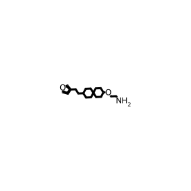 NCCOC1CCC2(CCC(CCc3ccoc3)CC2)CC1